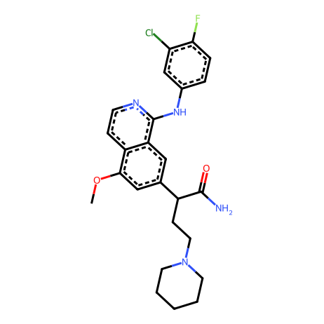 COc1cc(C(CCN2CCCCC2)C(N)=O)cc2c(Nc3ccc(F)c(Cl)c3)nccc12